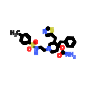 Cc1ccc(S(=O)(=O)NCCN2CCC(Cc3ccccc3)(OC(N)=O)C(Cc3cncs3)C2)cc1